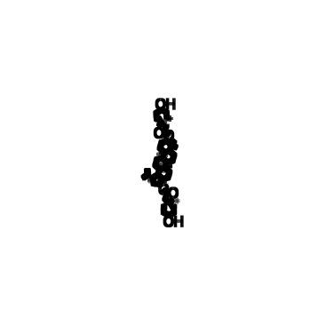 C=C(C)[C@@H]1CC[C@]2(COC(=O)C[N+]3(C)CCC(O)CC3)CC[C@]3(C)C(CCC4[C@@]5(C)CC[C@H](OC(=O)C[N+]6(C)CCC(O)CC6)C(C)(C)C5CC[C@]43C)C12